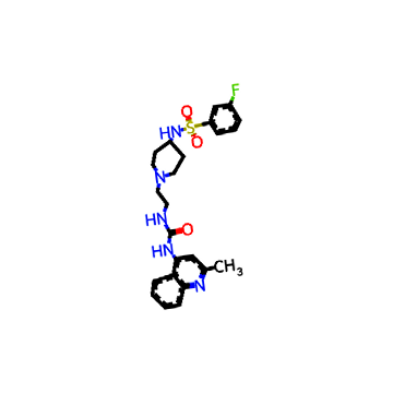 Cc1cc(NC(=O)NCCN2CCC(NS(=O)(=O)c3cccc(F)c3)CC2)c2ccccc2n1